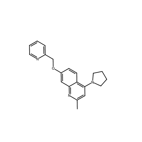 Cc1cc(N2CCCC2)c2ccc(OCc3ccccn3)cc2n1